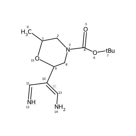 CC1CN(C(=O)OC(C)(C)C)CC(/C(C=N)=C/N)O1